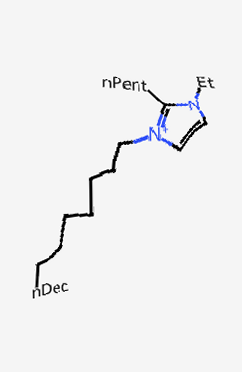 CCCCCCCCCCCCCCCCC[n+]1ccn(CC)c1CCCCC